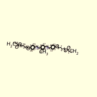 C=CC(=O)OCCCCOc1ccc(/C=C/c2ccc(/C=C/c3ccc(OCCCCOC(=O)C=C)cc3)c(C)c2)cc1